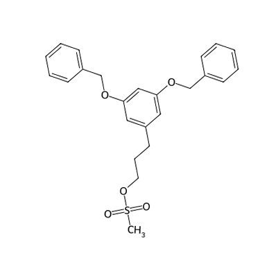 CS(=O)(=O)OCCCc1cc(OCc2ccccc2)cc(OCc2ccccc2)c1